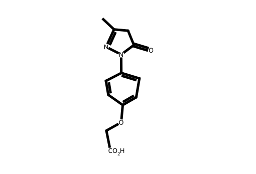 CC1=NN(c2ccc(OCC(=O)O)cc2)C(=O)C1